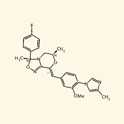 COc1cc(/C=C2\O[C@H](C)CN3C2=NO[C@]3(C)c2ccc(F)cc2)ccc1-n1cnc(C)c1